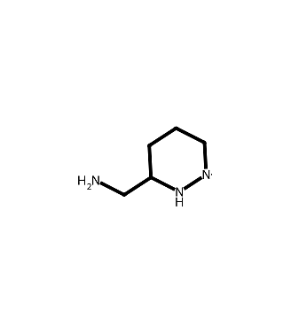 NCC1CCC[N]N1